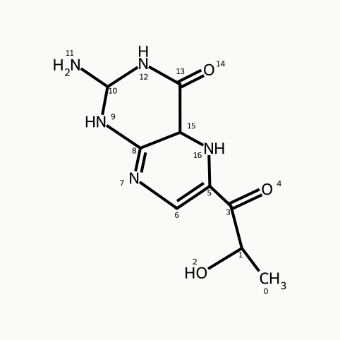 CC(O)C(=O)C1=CN=C2NC(N)NC(=O)C2N1